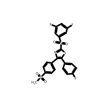 CS(=O)(=O)c1ccc(-c2nc(S(=O)(=O)c3cc(F)cc(F)c3)sc2-c2ccc(F)cc2)cc1